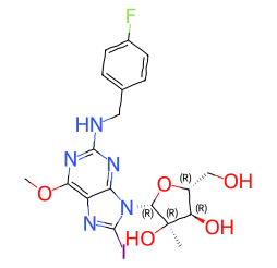 COc1nc(NCc2ccc(F)cc2)nc2c1nc(I)n2[C@@H]1O[C@H](CO)[C@@H](O)[C@@]1(C)O